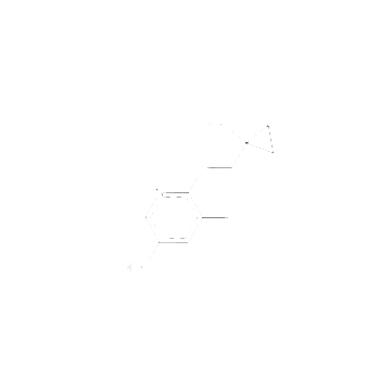 O=Cc1cnc(OCC2(C(F)(F)F)CC2)c(C(F)(F)F)c1